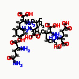 CC(C)CC(N)C(=O)O.CCC(C)C(N)C(=O)O.NC(=O)CCC(N)C(=O)O.NC(CCC(=O)O)C(=O)O.NC(Cc1ccccc1)C(=O)O